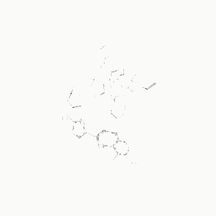 C=C[C@@H]1C[C@]1(NC(=O)[C@@H]1C[C@@H](Oc2cc(-c3csc(NC(=O)CC(C)(C)C)n3)nc3c(C)c(OC)ccc23)CN1C(=O)[C@@H](NC(=O)OC1CCC1)C(C)(C)C)C(=O)O